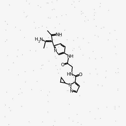 CC(=N)/C(=C(/C)N)c1ccc(NC(=O)CNC(=O)c2ccnn2C2CC2)cn1